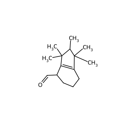 CC1C(C)(C)C2=C(C(C=O)CCC2)C1(C)C